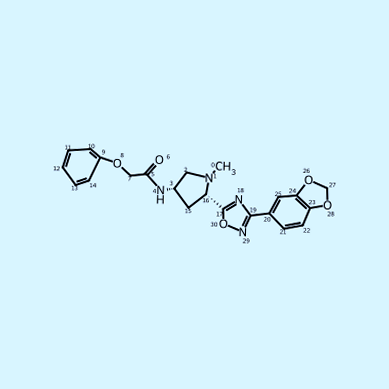 CN1C[C@@H](NC(=O)COc2ccccc2)C[C@H]1c1nc(-c2ccc3c(c2)OCO3)no1